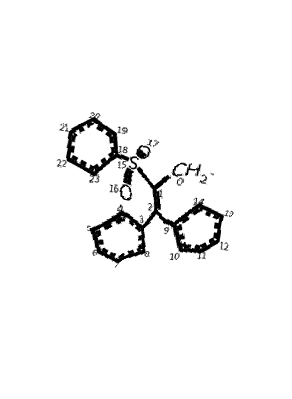 [CH2]C(=C(c1ccccc1)c1ccccc1)S(=O)(=O)c1ccccc1